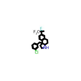 CC(F)(c1ccc2c(c1)CCC1NCCC21Cc1cccc(Cl)c1)C(F)(F)F